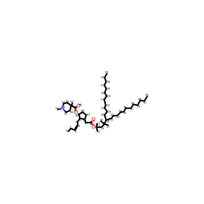 CC/C=C\CC1C(CC(=O)OC(C)(C)CC(C)(C)C(CCCCCCCCCCCC)CCCCCCCCCCCC)CCC1OC(=O)C1(C)CCN(C)CC1